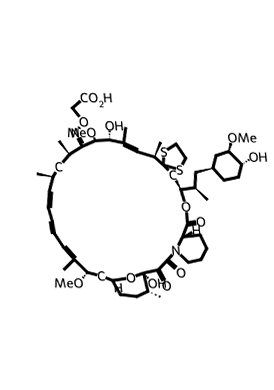 CO[C@H]1C[C@@H]2CC[C@@H](C)[C@@](O)(O2)C(=O)C(=O)N2CCCC[C@H]2C(=O)O[C@H]([C@H](C)C[C@@H]2CC[C@@H](O)[C@H](OC)C2)CC2(SCCS2)[C@H](C)/C=C(\C)[C@@H](O)[C@@H](OC)C(=NOCC(=O)O)[C@H](C)C[C@H](C)/C=C/C=C/C=C/1C